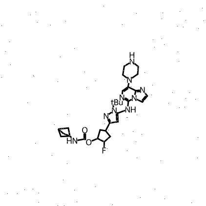 CC(C)(C)n1nc(C2CC(F)C(OC(=O)NC34CC(C3)C4)C2)cc1Nc1ncc(N2CCNCC2)c2nccn12